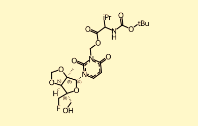 CC(C)C(NC(=O)OC(C)(C)C)C(=O)OCn1c(=O)ccn([C@@H]2O[C@@](CO)(CF)[C@H]3OCO[C@]32C)c1=O